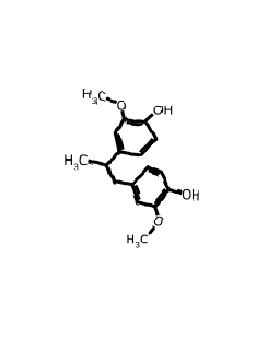 COc1cc(CC(C)c2ccc(O)c(OC)c2)ccc1O